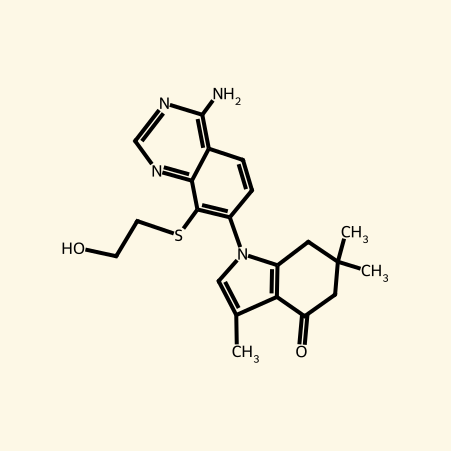 Cc1cn(-c2ccc3c(N)ncnc3c2SCCO)c2c1C(=O)CC(C)(C)C2